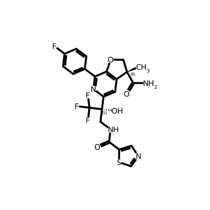 C[C@]1(C(N)=O)COc2c1cc([C@@](O)(CNC(=O)c1cncs1)C(F)(F)F)nc2-c1ccc(F)cc1